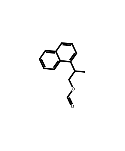 CC(COC=O)c1cccc2ccccc12